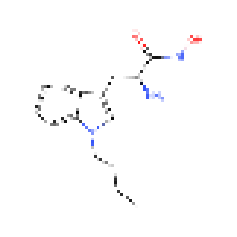 CCCCn1cc(C[C@H](N)C(=O)NO)c2ccccc21